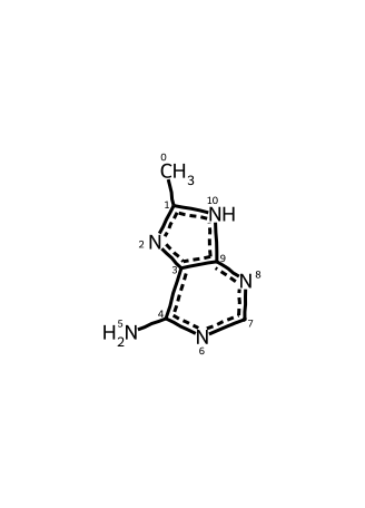 Cc1nc2c(N)ncnc2[nH]1